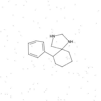 c1ccc(C2CCCCC23CNCN3)cc1